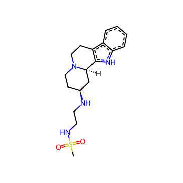 CS(=O)(=O)NCCN[C@H]1CCN2CCc3c([nH]c4ccccc34)[C@H]2C1